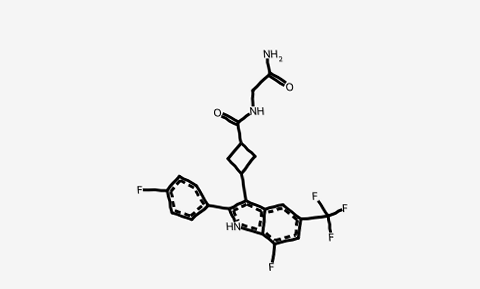 NC(=O)CNC(=O)C1CC(c2c(-c3ccc(F)cc3)[nH]c3c(F)cc(C(F)(F)F)cc23)C1